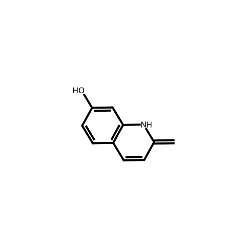 C=C1C=Cc2ccc(O)cc2N1